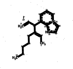 C=CC(C(=CC)CCCCC)c1ccc[n+]2cc[nH]c12.[I-]